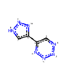 [c]1nnnnc1-c1c[nH]nn1